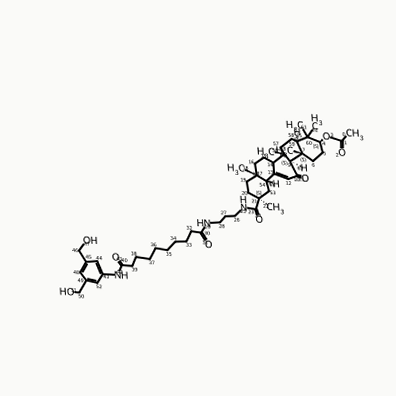 CC(=O)O[C@H]1CC[C@]2(C)[C@H]3C(=O)C=C4C(CC[C@@]5(C)CC[C@](C)(C(=O)NCCCNC(=O)CCCCCCCCC(=O)Nc6cc(CO)cc(CO)c6)C[C@@H]45)[C@]3(C)CC[C@H]2C1(C)C